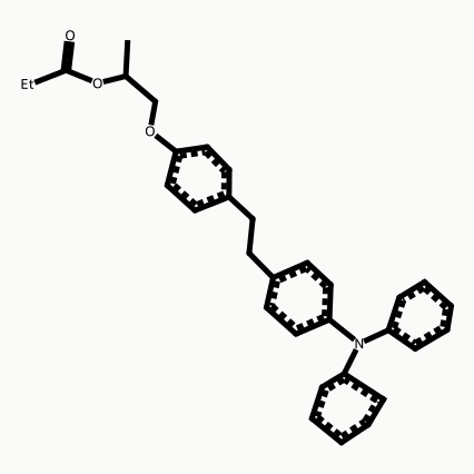 CCC(=O)OC(C)COc1ccc(CCc2ccc(N(c3ccccc3)c3ccccc3)cc2)cc1